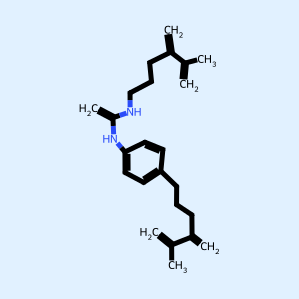 C=C(NCCCC(=C)C(=C)C)Nc1ccc(CCCC(=C)C(=C)C)cc1